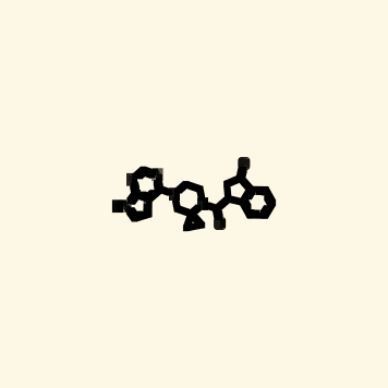 O=C1CC(C(=O)N2CCN(c3ncnc4[nH]ccc34)CC23CC3)c2ccccc21